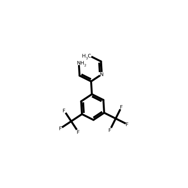 C/C=N\C(=C/N)c1cc(C(F)(F)F)cc(C(F)(F)F)c1